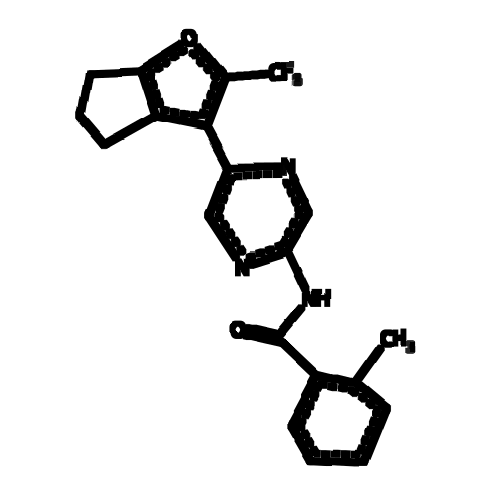 Cc1ccccc1C(=O)Nc1cnc(-c2c(C(F)(F)F)oc3c2CCC3)cn1